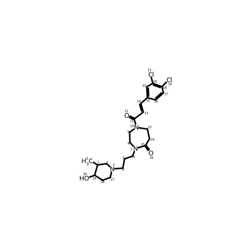 CC1CN(CCCN2CCN(C(=O)/C=C/c3ccc(Cl)c(Cl)c3)CCC2=O)CCC1O